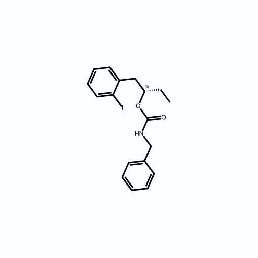 CC[C@@H](Cc1ccccc1I)OC(=O)NCc1ccccc1